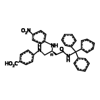 O=C(C[C@@H](CNc1ccc(C(=O)O)cc1)Nc1ccc([N+](=O)[O-])cc1)NC(c1ccccc1)(c1ccccc1)c1ccccc1